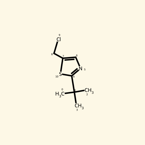 CC(C)(C)c1ncc(CCl)s1